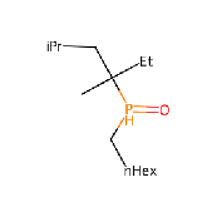 CCCCCCC[PH](=O)C(C)(CC)CC(C)C